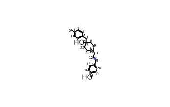 Cc1ccc(CC2(O)CCN(C/C=C/c3ccc(O)cc3)CC2)cc1